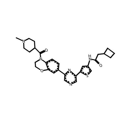 CN1CCC(C(=O)N2CCOc3cc(-c4cncc(-c5cc(NC(=O)CC6CCC6)cs5)n4)ccc32)CC1